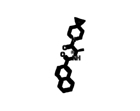 C[C@@H](NC(=O)c1ccc2ccccc2c1)C(=O)N1CCC2(CC1)CC2